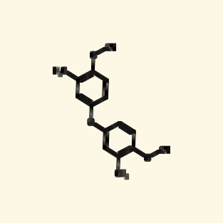 Cc1cc(Oc2ccc(OC#N)c(C)c2)ccc1OC#N